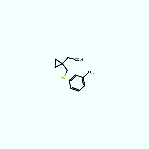 Cc1ccccc1.O=C(O)CC1(CS)CC1